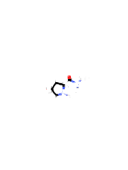 CCCN(CC)C(=O)[C@@H]1C[C@@H](O)CN1C(C)=O